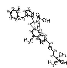 Cc1cc(CC(NC(=O)O)c2nccn2Cc2ccccc2F)cc2cn(COCC[Si](C)(C)C)nc12